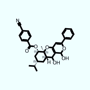 CC(C)[C@@H]1C[C@H](OC(=O)c2ccc(C#N)cc2)[C@@]2(C)OC3=C(C(O)OC(c4ccccc4)=C3)C(O)[C@@H]2C1